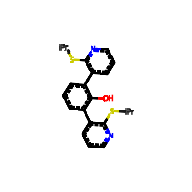 CC(C)Sc1ncccc1-c1cccc(-c2cccnc2SC(C)C)c1O